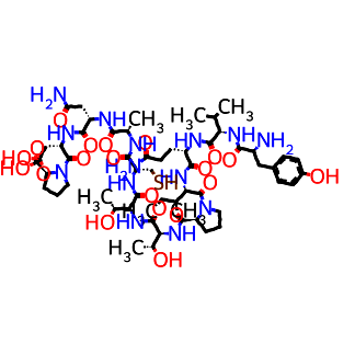 CC[C@H](C)[C@H](NC(=O)[C@H](CCC(N)=O)NC(=O)[C@@H](NC(=O)[C@@H](N)Cc1ccc(O)cc1)C(C)C)C(=O)N1CCC[C@H]1C(=O)N[C@H](C(=O)N[C@H](C(=O)N[C@@H](CS)C(=O)N[C@@H](C)C(=O)N[C@@H](CC(N)=O)C(=O)N[C@@H](CC(=O)O)C(=O)N1CCC[C@H]1C(=O)O)[C@@H](C)O)[C@@H](C)O